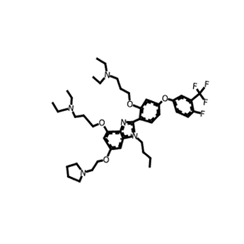 CCCCn1c(-c2ccc(Oc3ccc(F)c(C(F)(F)F)c3)cc2OCCCN(CC)CC)nc2c(OCCCN(CC)CC)cc(OCCN3CCCC3)cc21